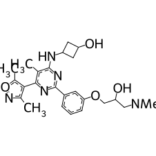 CNCC(O)COc1cccc(-c2nc(NC3CC(O)C3)c(C)c(-c3c(C)noc3C)n2)c1